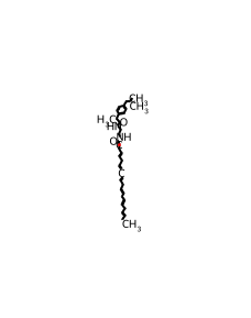 CCC=CCC=CCC=CCC=CCC=CCC=CCCC(=O)NCCNC(=O)C(C)c1ccc(CC(C)C)cc1